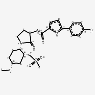 CO[C@@H]1CC[C@H](N2CCC(NC(=O)c3ccc(-c4ccc(Cl)cc4)o3)C2=O)[C@H](CS(C)(=O)=O)C1